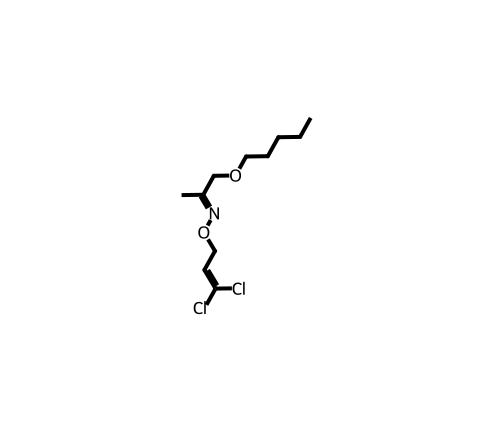 CCCCCOCC(C)=NOCC=C(Cl)Cl